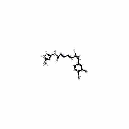 Cc1cc(NC(=O)/C=C/C=C/C2(F)CC2c2ccc(Br)c(Br)c2)no1